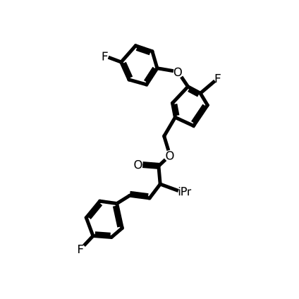 CC(C)C(/C=C/c1ccc(F)cc1)C(=O)OCc1ccc(F)c(Oc2ccc(F)cc2)c1